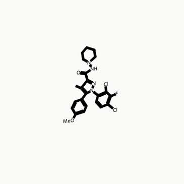 COc1ccc(-c2c(C)c(C(=O)NN3CCCCC3)nn2-c2ccc(Cl)c(F)c2Cl)cc1